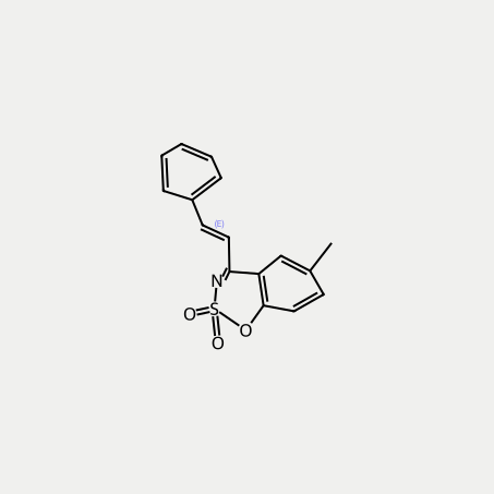 Cc1ccc2c(c1)C(/C=C/c1ccccc1)=NS(=O)(=O)O2